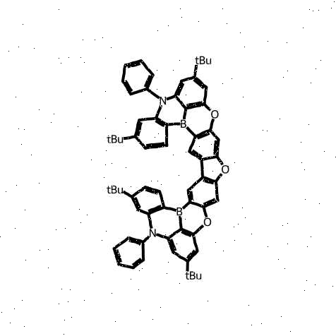 CC(C)(C)c1ccc2c(c1)N(c1ccccc1)c1cc(C(C)(C)C)cc3c1B2c1cc2c(cc1O3)oc1cc3c(cc12)B1c2ccc(C(C)(C)C)cc2N(c2ccccc2)c2cc(C(C)(C)C)cc(c21)O3